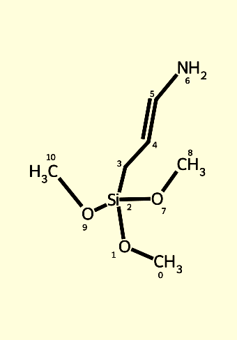 CO[Si](CC=CN)(OC)OC